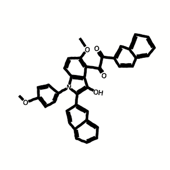 COc1ccc(-n2c(-c3ccc4ccccc4c3)c(O)c3c(C(=O)C(=O)c4ccc5ccccc5c4)c(OC)ccc32)cc1